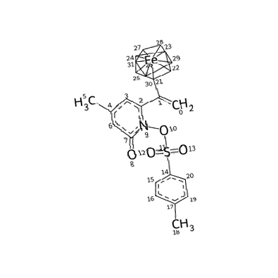 C=C(c1cc(C)cc(=O)n1OS(=O)(=O)c1ccc(C)cc1)[C]12[CH]3[CH]4[CH]5[CH]1[Fe]45321678[CH]2[CH]1[CH]6[CH]7[CH]28